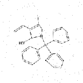 C=CC1=C(C)CN(C(c2ccccc2)(c2ccccc2)c2ccccc2)C1O